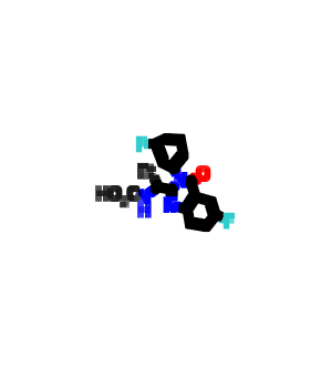 CCC(NC(=O)O)c1nc2ccc(F)cc2c(=O)n1-c1cccc(F)c1